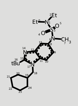 CCN(CC)S(=O)(=O)N(C)c1ccc2c(c1)nc(C(C)(C)C)n2CC1CCCCC1